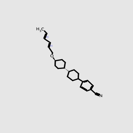 C/C=C/C=C/CO[C@H]1CC[C@H](C2CCC(c3ccc(C#N)cc3)CC2)CC1